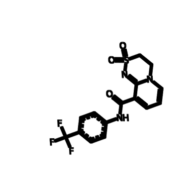 O=C(Nc1ccc(C(F)(F)F)cc1)C1=CC=CN2CCS(=O)(=O)N=C12